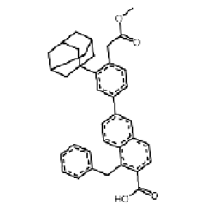 COC(=O)Cc1ccc(-c2ccc3c(Cc4ccccc4)c(C(=O)O)ccc3c2)cc1C12CC3CC(CC(C3)C1)C2